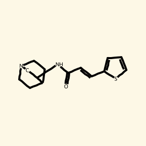 O=C(/C=C/c1cccs1)NC1CN2CCC1CC2